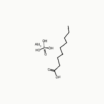 CCCCCCCCC(=O)O.O=P(O)(O)O.[AlH3]